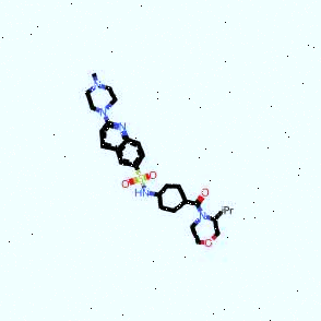 CC(C)C1COCCN1C(=O)C1CCC(NS(=O)(=O)c2ccc3nc(N4CCN(C)CC4)ccc3c2)CC1